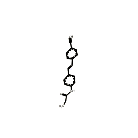 C#Cc1ccc(/C=C/c2ccc(NC(=O)CN)cc2)cc1